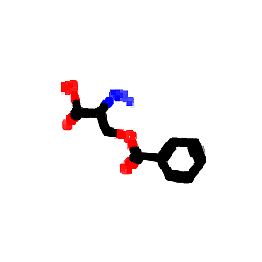 NC(COC(=O)c1ccccc1)C(=O)O